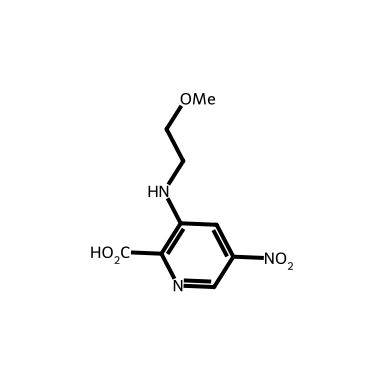 COCCNc1cc([N+](=O)[O-])cnc1C(=O)O